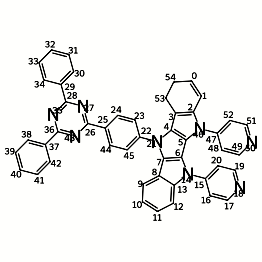 C1=Cc2c(c3c(c4c(c5ccccc5n4-c4ccncc4)n3-c3ccc(-c4nc(-c5ccccc5)nc(-c5ccccc5)n4)cc3)n2-c2ccncc2)CC1